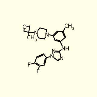 Cc1cc(Nc2ncn(-c3ccc(F)c(F)c3)n2)cc(N2CCN(C3(C)COC3)CC2)c1